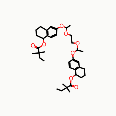 CCC(C)(C)C(=O)OC1CCCc2cc(OC(C)OCCOC(C)Oc3ccc4c(c3)CCCC4OC(=O)C(C)(C)CC)ccc21